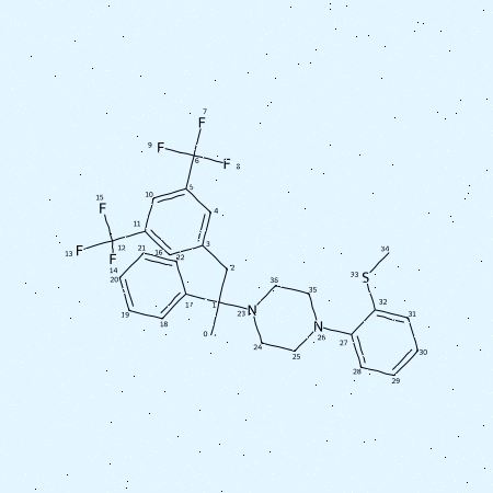 [CH2]C(Cc1cc(C(F)(F)F)cc(C(F)(F)F)c1)(c1ccccc1)N1CCN(c2ccccc2SC)CC1